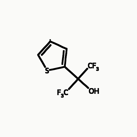 OC(c1c[c]cs1)(C(F)(F)F)C(F)(F)F